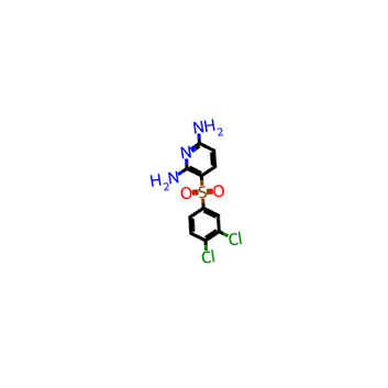 Nc1ccc(S(=O)(=O)c2ccc(Cl)c(Cl)c2)c(N)n1